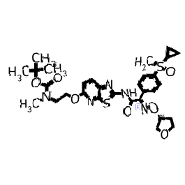 C=S(=O)(c1ccc(/C(=N\O[C@@H]2CCOC2)C(=O)Nc2nc3ccc(OCCN(C)C(=O)OC(C)(C)C)nc3s2)cc1)C1CC1